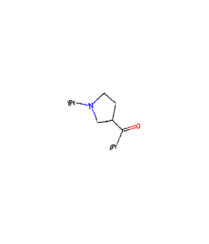 CC(C)C(=O)C1CCN(C(C)C)C1